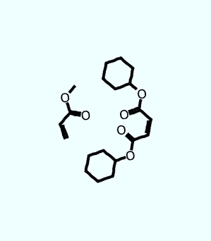 C=CC(=O)OC.O=C(/C=C\C(=O)OC1CCCCC1)OC1CCCCC1